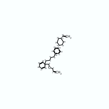 C=CCOCC1(CCCCc2ccc([C@H]3CC[C@H](C=C)CC3)cc2)C=CCC=C1